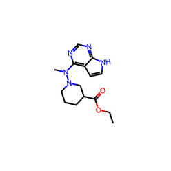 CCOC(=O)C1CCCN(N(C)c2ncnc3[nH]ccc23)C1